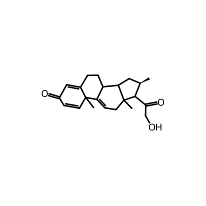 C[C@@H]1CC2C3CCC4=CC(=O)C=CC4(C)C3=CCC2(C)C1C(=O)CO